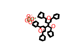 O=C(C(=C1C=C(c2ccccc2)OC(c2ccccc2)=C1)c1cc(-c2ccccc2)[o+]c(-c2ccccc2)c1)c1ccccc1.[O-][Cl+3]([O-])([O-])[O-]